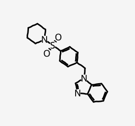 O=S(=O)(c1ccc(Cn2cnc3ccccc32)cc1)N1CCCCC1